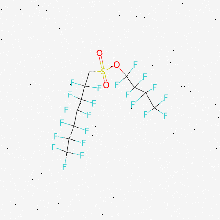 O=S(=O)(CC(F)(F)C(F)(F)C(F)(F)C(F)(F)C(F)(F)C(F)(F)F)OC(F)(F)C(F)(F)C(F)(F)C(F)(F)F